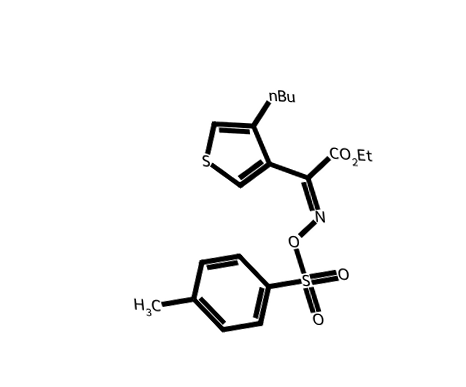 CCCCc1cscc1C(=NOS(=O)(=O)c1ccc(C)cc1)C(=O)OCC